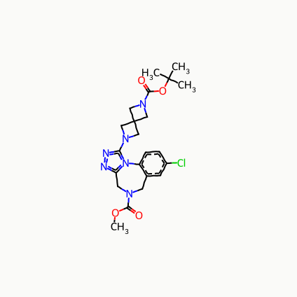 COC(=O)N1Cc2cc(Cl)ccc2-n2c(nnc2N2CC3(CN(C(=O)OC(C)(C)C)C3)C2)C1